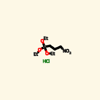 CCO[Si](CCC[N+](=O)[O-])(OCC)OCC.Cl